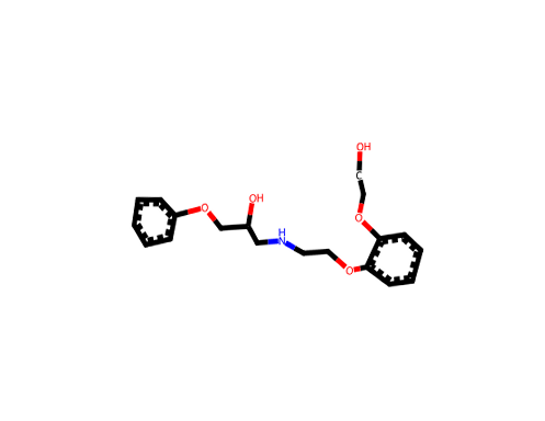 OCCOc1ccccc1OCCNCC(O)COc1ccccc1